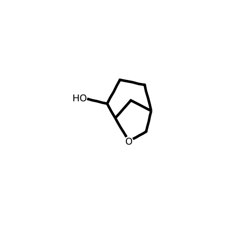 OC1CCC2COC1C2